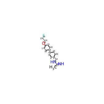 CC(=N)NCc1ccc(-c2ccc(OCCF)cc2)cc1